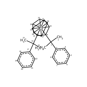 CC(C)(c1ccccc1)[C]12[CH]3[CH]4[CH]5[C]1(C(C)(C)c1ccccc1)[Fe]43521678[CH]2[CH]1[CH]6[CH]7[CH]28